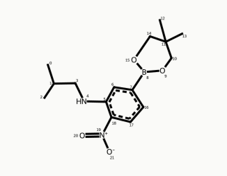 CC(C)CNc1cc(B2OCC(C)(C)CO2)ccc1[N+](=O)[O-]